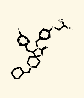 CC(C)COc1ccc(CN2C(=O)OC3(CCN(CC4CCCCC4)CC3)C2Cc2ccc(F)cc2)cc1